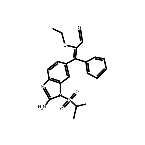 CCOC(C=O)=C(c1ccccc1)c1ccc2nc(N)n(S(=O)(=O)C(C)C)c2c1